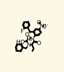 CCC(C(=O)Nc1ccc([N+](=O)[O-])cc1C(=O)c1ccccc1F)N(Cc1ccccc1)C(=O)O